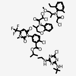 CC(C)OC(=O)c1cc(-n2c(=O)cc(C(F)(F)F)n(C)c2=O)ccc1Cl.CC1COc2ccccc2N1C(=O)C(Cl)Cl.CCNc1nc(Cl)nc(NC(C)(C)C)n1.CCc1cccc(C)c1N(C(=O)CCl)C(C)COC